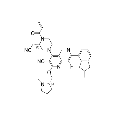 C=CC(=O)N1CCN(c2c(C#N)c(OC[C@@H]3CCCN3C)nc3c(F)c(-c4cccc5c4CC(C)C5)ncc23)C[C@@H]1CC#N